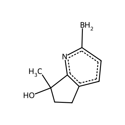 Bc1ccc2c(n1)C(C)(O)CC2